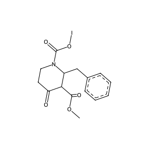 COC(=O)C1C(=O)CCN(C(=O)OI)C1Cc1ccccc1